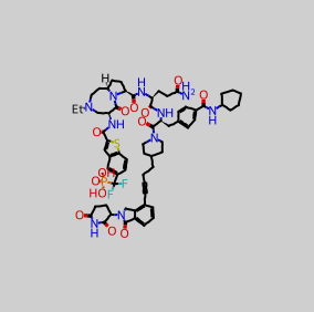 CCN1CC[C@H]2CC[C@@H](C(=O)N[C@@H](CCC(N)=O)C(=O)N[C@@H](Cc3ccc(C(=O)NC4CCCCC4)cc3)C(=O)N3CCC(CCC#Cc4cccc5c4CN(C4CCC(=O)NC4=O)C5=O)CC3)N2C(=O)[C@@H](NC(=O)c2cc3cc(C(F)(F)P(=O)(O)O)ccc3s2)C1